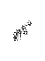 CCCS(=O)(=O)N(C)c1cccc(C(=O)N[C@@H](Cc2ccccc2)[C@@H](O)Cn2ccc(CCc3ccccc3)n2)c1